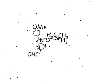 COc1ccc(-c2cc3nc(CC=O)cnc3n2COCC[Si](C)(C)C)cc1